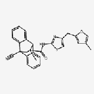 Cc1coc(Cc2csc(NC(=O)C3(C)CC4(C#N)c5ccccc5C3c3ccccc34)n2)c1